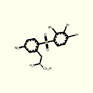 CC(C)c1ccc(S(=O)(=O)c2ccc(C#N)cc2C[C@H](N)C(=O)O)c(C(C)C)c1C(C)C